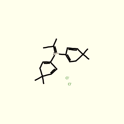 C[C](C)=[Zr+2]([C]1=CCC(C)(C)C=C1)[C]1=CCC(C)(C)C=C1.[Cl-].[Cl-]